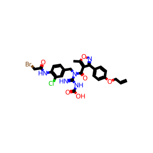 C=CCOc1ccc(-c2noc(C)c2C(=O)N(Cc2ccc(NC(=O)CBr)c(Cl)c2)C(=N)NC(=O)O)cc1